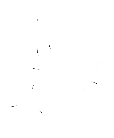 CC[C@H]1OC(=O)[C@H](C)[C@@H](O[C@H]2C[C@@](C)(OC)[C@@H](O)[C@H](C)O2)[C@H](C)[C@@H](O[C@@H]2O[C@H](C)C[C@H]([N+](C)(C)[O-])[C@H]2O)[C@](C)(O)C[C@@H](C)CN(C)[C@H](C)[C@@H](O)[C@]1(C)O